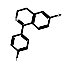 Brc1ccc2c(c1)CCN=C2c1ccc(I)cc1